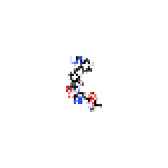 CC(C)(C)OC(=O)CC[C@@H](C(N)=O)N1Cc2cc(C[C@H]3CCCC[C@@H]3N)ccc2C1=O